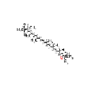 CC1=C(/C=C/C(C)=C/C=C/C(C)=C/C=C/C=C(C)/C=C/C=C(C)/C=C/C=C(C)/C=C/C(=O)C(C)(C)C)C(C)(C)CCC1